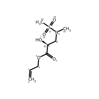 C=CCOC(=O)[C@@H](O)CN(C)S(C)(=O)=O